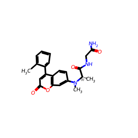 Cc1ccccc1-c1cc(=O)oc2cc(N(C)[C@@H](C)C(=O)NCC(N)=O)ccc12